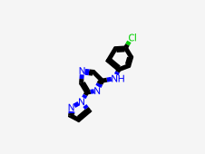 Clc1ccc(Nc2cncc(-n3cccn3)n2)cc1